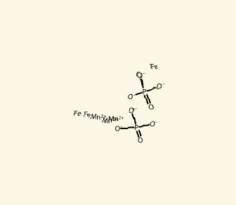 O=P([O-])([O-])[O-].O=P([O-])([O-])[O-].[Fe].[Fe].[Fe].[Mn+2].[Mn+2].[Mn+2]